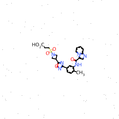 Cc1ccc(-c2noc(C3CN(S(=O)(=O)CCC(=O)O)C3)n2)cc1NC(=O)c1cnc2ccccn12